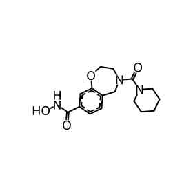 O=C(NO)c1ccc2c(c1)OCCN(C(=O)N1CCCCC1)C2